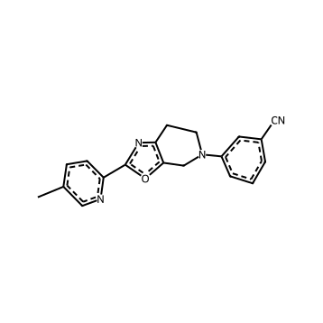 Cc1ccc(-c2nc3c(o2)CN(c2cccc(C#N)c2)CC3)nc1